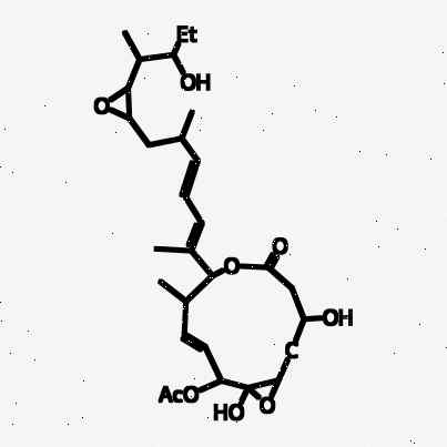 CCC(O)C(C)C1OC1CC(C)/C=C/C=C(\C)C1OC(=O)CC(O)CC2OC2(O)C(OC(C)=O)/C=C/C1C